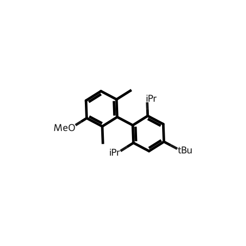 COc1ccc(C)c(-c2c(C(C)C)cc(C(C)(C)C)cc2C(C)C)c1C